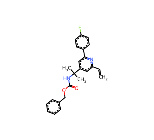 C=Cc1cc(C(C)(C)NC(=O)OCc2ccccc2)cc(-c2ccc(F)cc2)n1